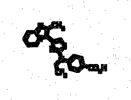 Cc1nc2ccccn2c1-c1csc(N(CC(F)(F)F)c2ccc(C(=O)O)cc2)n1